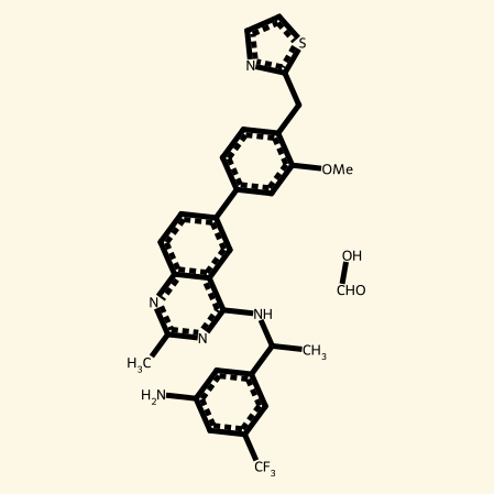 COc1cc(-c2ccc3nc(C)nc(NC(C)c4cc(N)cc(C(F)(F)F)c4)c3c2)ccc1Cc1nccs1.O=CO